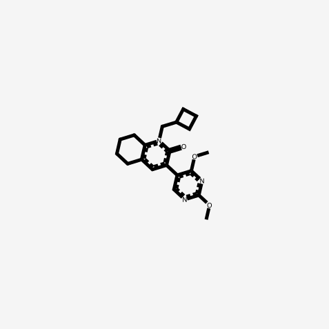 COc1ncc(-c2cc3c(n(CC4CCC4)c2=O)CCCC3)c(OC)n1